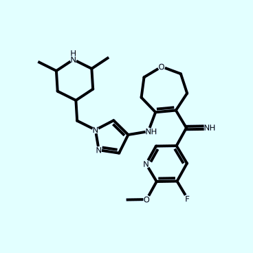 COc1ncc(C(=N)C2=C(Nc3cnn(CC4CC(C)NC(C)C4)c3)CCOCC2)cc1F